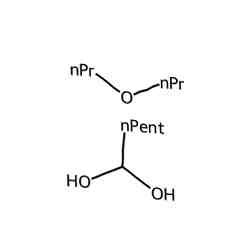 CCCCCC(O)O.CCCOCCC